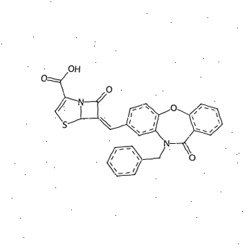 O=C(O)C1=CSC2/C(=C/c3ccc4c(c3)N(Cc3ccccc3)C(=O)c3ccccc3O4)C(=O)N12